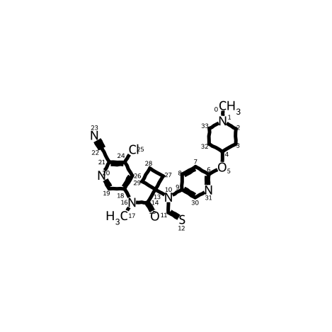 CN1CCC(Oc2ccc(N(C=S)C3(C(=O)N(C)c4cnc(C#N)c(Cl)c4)CCC3)cn2)CC1